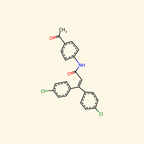 CC(=O)c1ccc(NC(=O)C=C(c2ccc(Cl)cc2)c2ccc(Cl)cc2)cc1